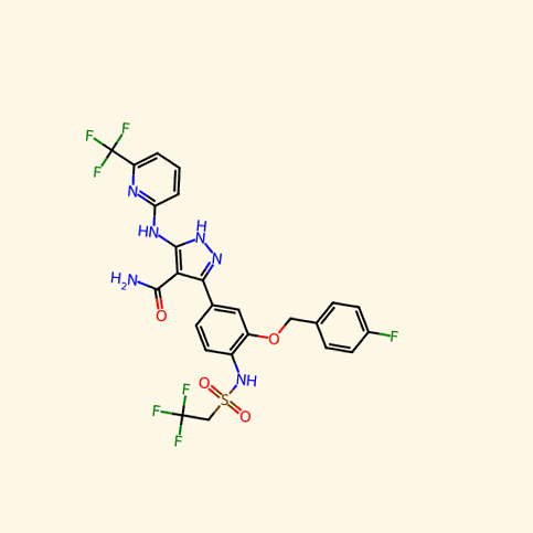 NC(=O)c1c(-c2ccc(NS(=O)(=O)CC(F)(F)F)c(OCc3ccc(F)cc3)c2)n[nH]c1Nc1cccc(C(F)(F)F)n1